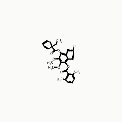 CCC1(C(=O)Oc2c(OC)c(OC)c(OC(=O)c3c(C)cccc3C)c3ccc(Cl)cc23)C=CC=CC1